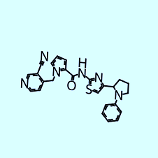 N#Cc1cnccc1Cn1cccc1C(=O)Nc1nc(C2CCCN2c2ccccc2)cs1